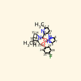 Cc1ccc(-n2cccn2)c(C(=O)N2C3CC(C3)[C@H](C)C2COc2ccc(F)cc2)n1